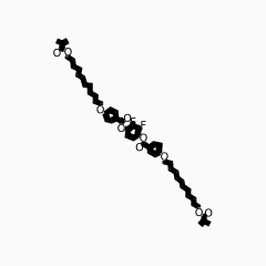 C=C(C)C(=O)OCCCCCCCCCCCCOc1ccc(C(=O)Oc2ccc(OC(=O)c3ccc(OCCCCCCCCCCCCOC(=O)C(=C)C)cc3)c(F)c2F)cc1